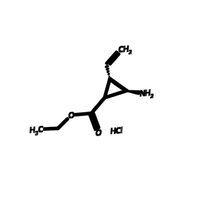 C=C[C@H]1C(C(=O)OCC)[C@@H]1N.Cl